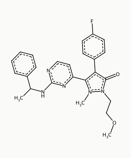 COCCn1c(=O)c(-c2ccc(F)cc2)c(-c2ccnc(NC(C)c3ccccc3)n2)n1C